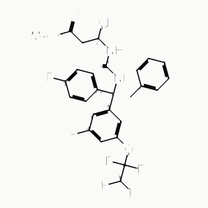 COC(=O)CC(NC(=O)N[C@](Cc1ccccc1)(c1ccc(F)cc1)c1cc(F)cc(OC(F)(F)C(F)F)c1)C(F)(F)F